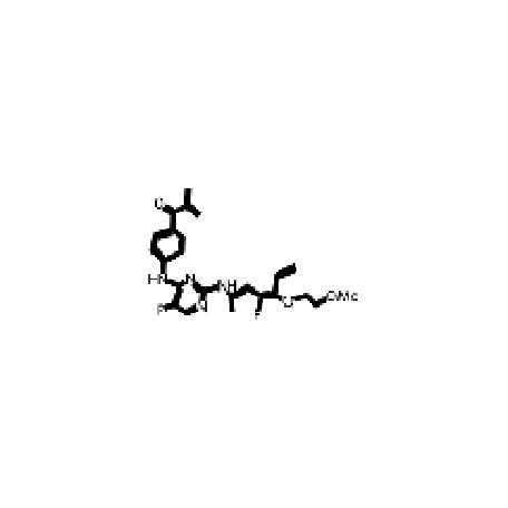 C=C/C(OCCOC)=C(F)\C=C(/C)Nc1ncc(F)c(Nc2ccc(C(=O)C(=C)C)cc2)n1